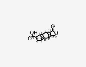 O=C(O)C1CC2CC1C1C3CC(C4COC(=O)C43)C21